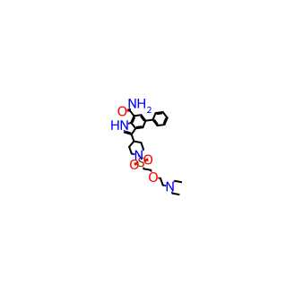 CCN(CC)CCOCCS(=O)(=O)N1CCC(c2c[nH]c3c(C(N)=O)cc(-c4ccccc4)cc23)CC1